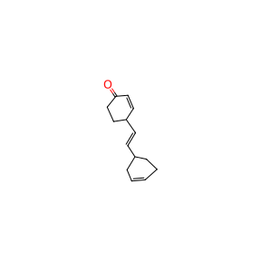 O=C1C=CC(/C=C/C2CC=CCC2)CC1